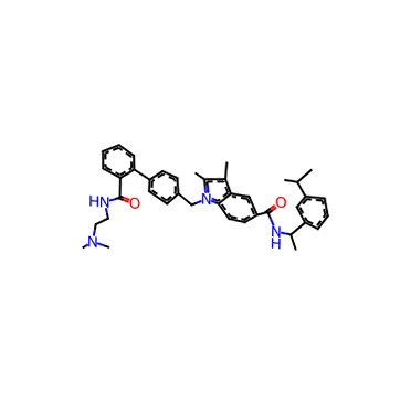 Cc1c(C)n(Cc2ccc(-c3ccccc3C(=O)NCCN(C)C)cc2)c2ccc(C(=O)NC(C)c3cccc(C(C)C)c3)cc12